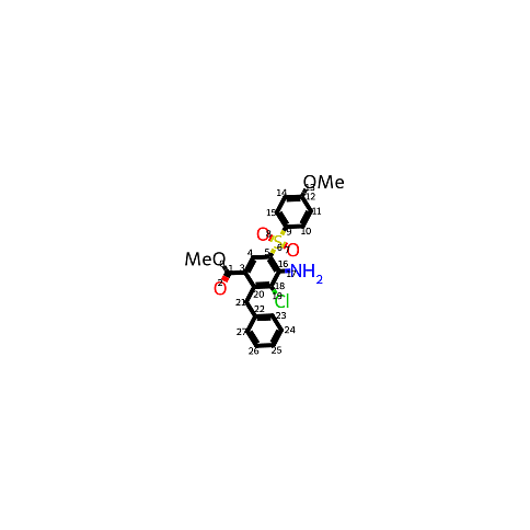 COC(=O)c1cc(S(=O)(=O)c2ccc(OC)cc2)c(N)c(Cl)c1Cc1ccccc1